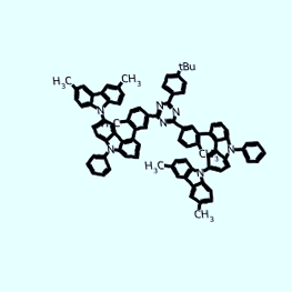 Cc1ccc2c(c1)c1cc(C)ccc1n2-c1ccc2c(c1)c1c(-c3cc(-c4nc(-c5ccc(C(C)(C)C)cc5)nc(-c5ccc(C)c(-c6cccc7c6c6cc(-n8c9ccc(C)cc9c9cc(C)ccc98)ccc6n7-c6ccccc6)c5)n4)ccc3C)cccc1n2-c1ccccc1